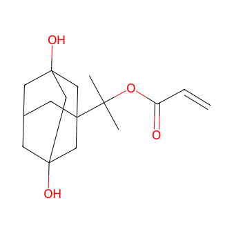 C=CC(=O)OC(C)(C)C12CC3CC(O)(CC(O)(C3)C1)C2